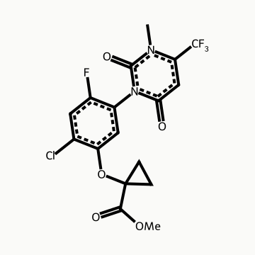 COC(=O)C1(Oc2cc(-n3c(=O)cc(C(F)(F)F)n(C)c3=O)c(F)cc2Cl)CC1